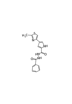 Cc1nc(-c2c[nH]c(C(=O)NNC(=O)c3ccccc3)c2)cs1